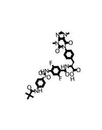 Cn1cnc2c1c(=O)n(-c1ccc(C[C@H](NC(=O)c3cc(F)c(NS(=O)(=O)c4ccc(NC(=O)C(C)(C)C)cc4)cc3F)C(=O)O)cc1)c(=O)n2C